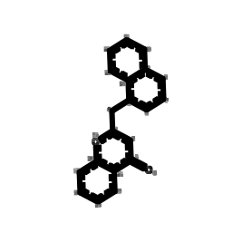 O=c1cc(Cc2cccc3ccccc23)oc2ccccc12